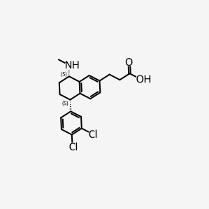 CN[C@H]1CC[C@@H](c2ccc(Cl)c(Cl)c2)c2ccc(CCC(=O)O)cc21